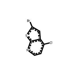 Clc1ccnc2sc(Br)cc12